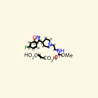 COC(=O)NCCN1CCC(c2noc3cc(F)ccc23)CC1.O=C(O)C=CC(=O)O